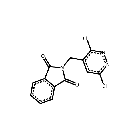 O=C1c2ccccc2C(=O)N1Cc1cc(Cl)nnc1Cl